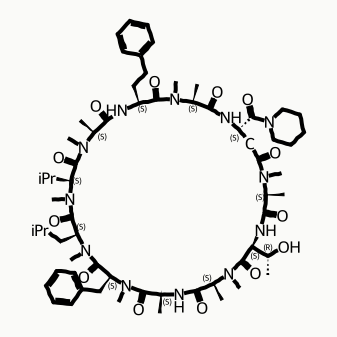 CC(C)C[C@H]1C(=O)N(C)[C@@H](C(C)C)C(=O)N(C)[C@@H](C)C(=O)N[C@@H](CCc2ccccc2)C(=O)N(C)[C@@H](C)C(=O)N[C@H](C(=O)N2CCCCC2)CC(=O)N(C)[C@@H](C)C(=O)N[C@@H]([C@@H](C)O)C(=O)N(C)[C@@H](C)C(=O)N[C@@H](C)C(=O)N(C)[C@@H](Cc2ccccc2)C(=O)N1C